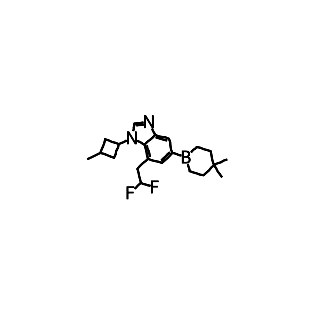 CC1CC(n2cnc3cc(B4CCC(C)(C)CC4)cc(CC(F)F)c32)C1